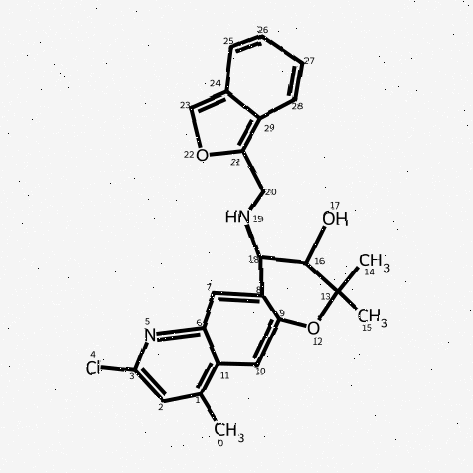 Cc1cc(Cl)nc2cc3c(cc12)OC(C)(C)C(O)C3NCc1occ2ccccc12